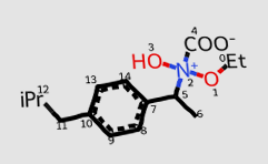 CCO[N+](O)(C(=O)[O-])C(C)c1ccc(CC(C)C)cc1